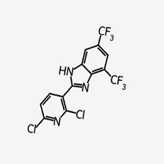 FC(F)(F)c1cc(C(F)(F)F)c2nc(-c3ccc(Cl)nc3Cl)[nH]c2c1